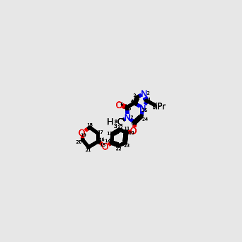 CC(C)c1ncc2c(=O)n(C)c(Oc3ccc(OC4CCOCC4)cc3)cn12